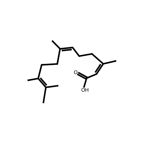 CC(=CC(=O)O)CCC=C(C)CCC(C)=C(C)C